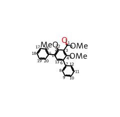 COC(=O)c1c(OC)c(-c2ccccc2)cc(-c2ccccc2)c1OC